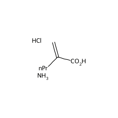 C=C(CCC)C(=O)O.Cl.N